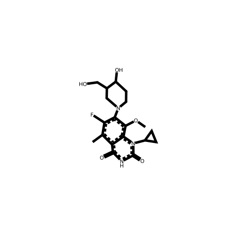 COc1c(N2CCC(O)C(CO)C2)c(F)c(C)c2c(=O)[nH]c(=O)n(C3CC3)c12